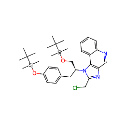 CC(C)(C)[Si](C)(C)OC[C@H](Cc1ccc(O[Si](C)(C)C(C)(C)C)cc1)n1c(CCl)nc2cnc3ccccc3c21